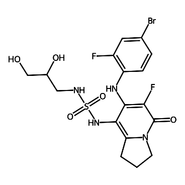 O=c1c(F)c(Nc2ccc(Br)cc2F)c(NS(=O)(=O)NCC(O)CO)c2n1CCC2